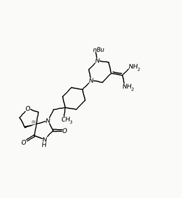 CCCCN1CC(=C(N)N)CN(C2CCC(C)(CN3C(=O)NC(=O)[C@@]34CCOC4)CC2)C1